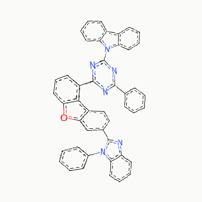 c1ccc(-c2nc(-c3cccc4oc5cc(-c6nc7ccccc7n6-c6ccccc6)ccc5c34)nc(-n3c4ccccc4c4ccccc43)n2)cc1